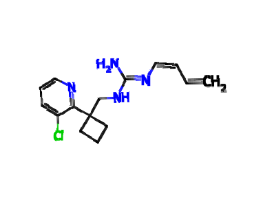 C=C/C=C\N=C(/N)NCC1(c2ncccc2Cl)CCC1